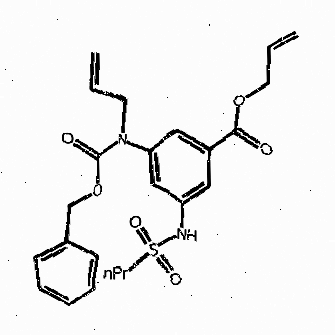 C=CCOC(=O)c1cc(NS(=O)(=O)CCC)cc(N(CC=C)C(=O)OCc2ccccc2)c1